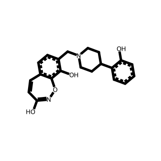 OC1=NOc2c(ccc(CN3CCC(c4ccccc4O)CC3)c2O)C=C1